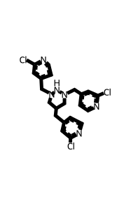 Clc1cc(CC2CN(Cc3ccnc(Cl)c3)NN(Cc3ccnc(Cl)c3)C2)ccn1